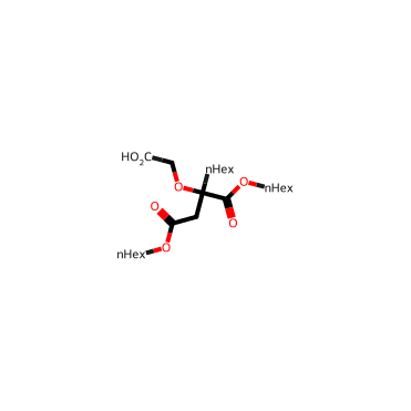 CCCCCCOC(=O)CC(CCCCCC)(OCC(=O)O)C(=O)OCCCCCC